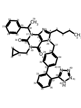 CCCCc1nc2c(c(=O)n(CC3CC3)c(=O)n2C(C)c2ccccc2)n1Cc1ccc(-c2ccccc2-c2nnn[nH]2)cc1